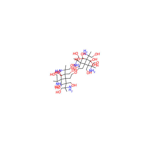 CC(N)(CO)C(CO)(CO)C(CCOCCC(C(CO)(CO)C(C)(N)CO)(C(CO)(CO)C(C)(N)CO)C(CO)(CO)C(C)(N)CO)(C(CO)(CO)C(C)(N)CO)C(CO)(CO)C(C)(N)CO